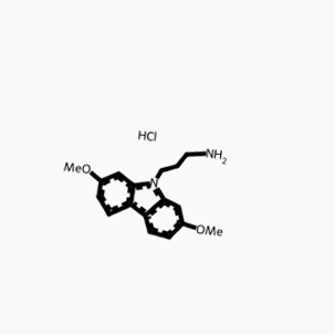 COc1ccc2c3ccc(OC)cc3n(CCCN)c2c1.Cl